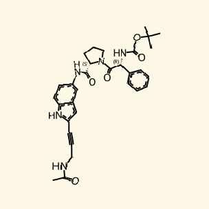 CC(=O)NCC#Cc1cc2cc(NC(=O)[C@@H]3CCCN3C(=O)[C@H](NC(=O)OC(C)(C)C)c3ccccc3)ccc2[nH]1